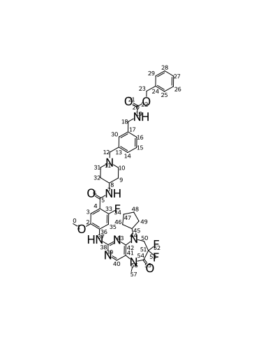 COc1cc(C(=O)NC2CCN(Cc3cccc(CNC(=O)OCc4ccccc4)c3)CC2)c(F)cc1Nc1ncc2c(n1)N(C1CCCC1)CC(F)(F)C(=O)N2C